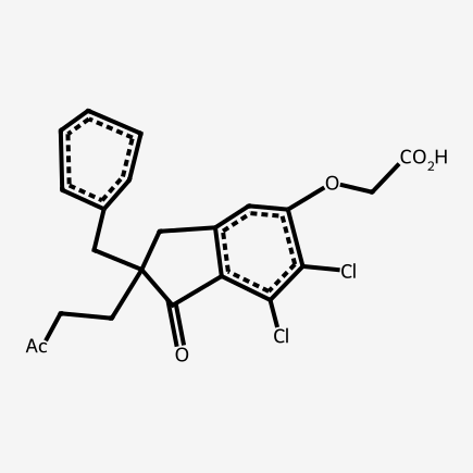 CC(=O)CCC1(Cc2ccccc2)Cc2cc(OCC(=O)O)c(Cl)c(Cl)c2C1=O